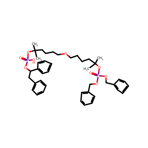 CC(C)(CCCCOCCCCC(C)(C)OP(=O)(OCc1ccccc1)OCc1ccccc1)OP(=O)(O)OC(Cc1ccccc1)c1ccccc1